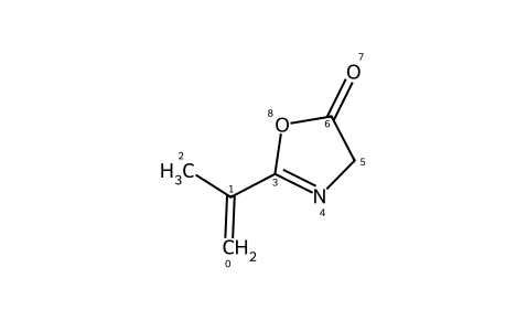 C=C(C)C1=NCC(=O)O1